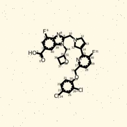 O=C(O)c1cc(F)c2nc(CN3CC=C(c4nc(COc5ccc(Cl)cc5Cl)ccc4F)C3)n(C[C@@H]3CCO3)c2c1